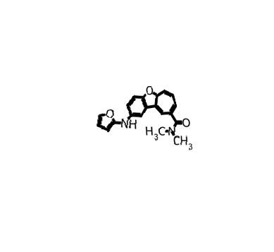 CN(C)C(=O)C1=CC=CC2Oc3ccc(Nc4ccco4)cc3C2=C1